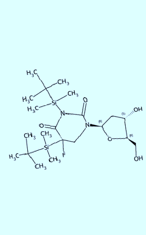 CC(C)(C)[Si](C)(C)N1C(=O)N([C@H]2C[C@H](O)[C@@H](CO)O2)CC(F)([Si](C)(C)C(C)(C)C)C1=O